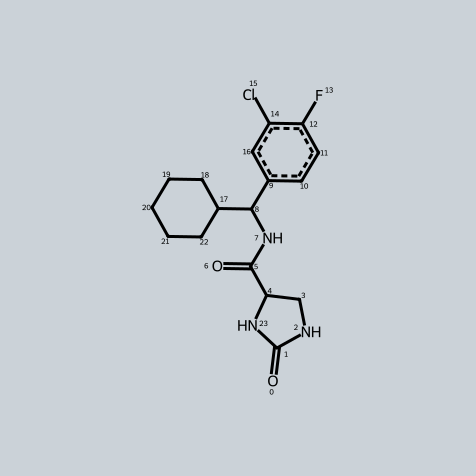 O=C1NCC(C(=O)NC(c2ccc(F)c(Cl)c2)C2CCCCC2)N1